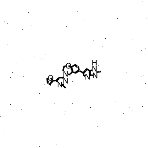 Cc1nc(-c2ccco2)cc(N2CCOc3ccc(-c4cnc5nc(C)[nH]c5c4)cc3C2)n1